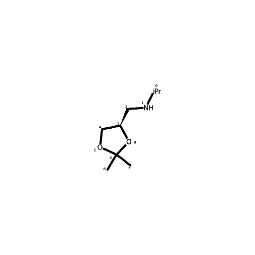 CC(C)NC[C@@H]1COC(C)(C)O1